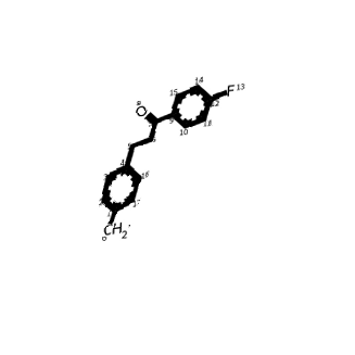 [CH2]c1ccc([CH]CC(=O)c2ccc(F)cc2)cc1